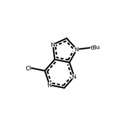 CC(C)(C)n1cnc2c(Cl)ncnc21